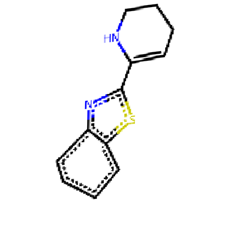 C1=C(c2nc3ccccc3s2)NCCC1